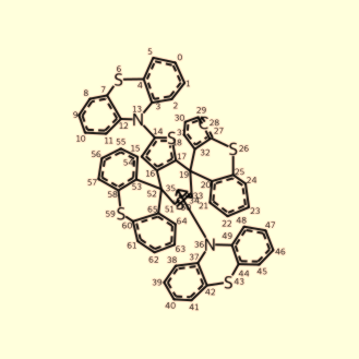 c1ccc2c(c1)Sc1ccccc1N2c1cc2c(s1)C1(c3ccccc3Sc3ccccc31)c1cc(N3c4ccccc4Sc4ccccc43)sc1C21c2ccccc2Sc2ccccc21